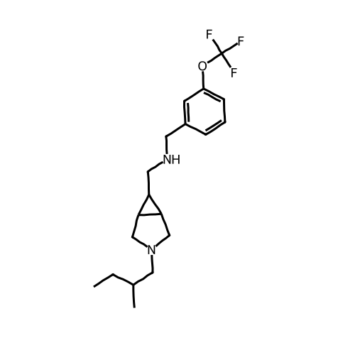 CCC(C)CN1CC2C(CNCc3cccc(OC(F)(F)F)c3)C2C1